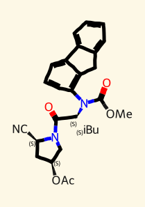 CC[C@H](C)[C@@H](C(=O)N1C[C@@H](OC(C)=O)C[C@H]1C#N)N(C(=O)OC)c1cccc2c1Cc1ccccc1-2